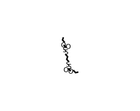 CCCOC(=O)SSCCCCSSC(=O)OCCC